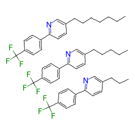 CCCCCCCc1ccc(-c2ccc(C(F)(F)F)cc2)nc1.CCCCCc1ccc(-c2ccc(C(F)(F)F)cc2)nc1.CCCc1ccc(-c2ccc(C(F)(F)F)cc2)nc1